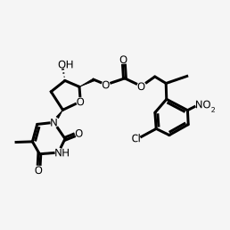 Cc1cn([C@H]2C[C@H](O)[C@@H](COC(=O)OCC(C)c3cc(Cl)ccc3[N+](=O)[O-])O2)c(=O)[nH]c1=O